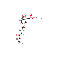 CCOC(=O)/C=C/c1cc(OCCCCC(=O)OCC)ccc1O